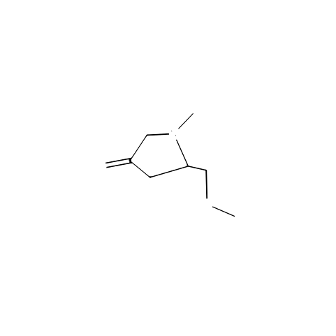 C=C1CC(COC)N(C)C1